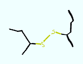 CCC(C)SSC(C)CC